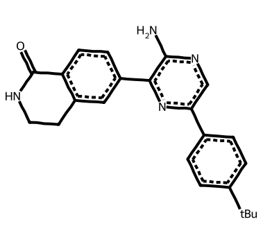 CC(C)(C)c1ccc(-c2cnc(N)c(-c3ccc4c(c3)CCNC4=O)n2)cc1